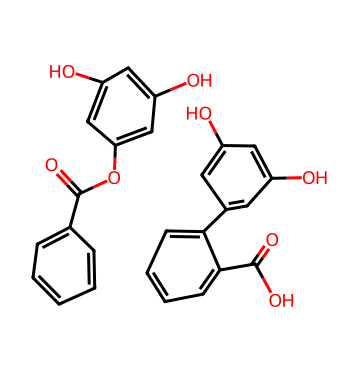 O=C(O)c1ccccc1-c1cc(O)cc(O)c1.O=C(Oc1cc(O)cc(O)c1)c1ccccc1